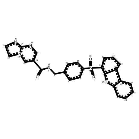 O=C(NCc1ccc(S(=O)(=O)c2cccc3c2oc2ccccc23)cc1)c1cnc2nccn2c1